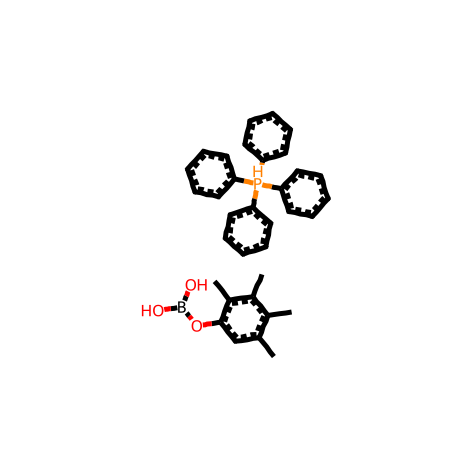 Cc1cc(OB(O)O)c(C)c(C)c1C.c1ccc([PH](c2ccccc2)(c2ccccc2)c2ccccc2)cc1